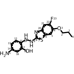 CCCOc1cc2sc(NNc3ccc(N)cc3O)nc2cc1F